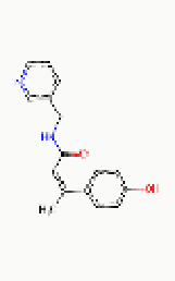 CC(=CC(=O)NCc1cccnc1)c1ccc(O)cc1